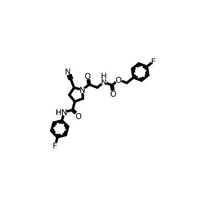 N#CC1CC(C(=O)Nc2ccc(F)cc2)CN1C(=O)CNC(=O)OCc1ccc(F)cc1